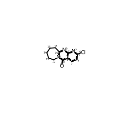 O=c1c2ccc(Cl)nc2nc2n1CCCCC2